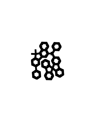 CC1(C)c2ccc(-c3ccccc3)cc2-c2cc(N(c3ccccc3)c3ccc4c(c3)C3(c5ccccc5-c5ccccc53)c3ccccc3-4)c3ccccc3c21